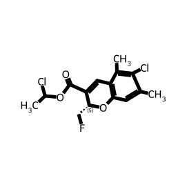 Cc1cc2c(c(C)c1Cl)C=C(C(=O)OC(C)Cl)[C@@H](CF)O2